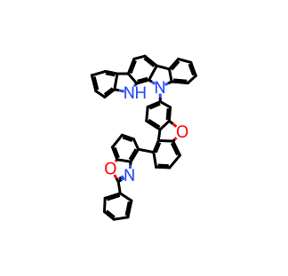 c1ccc(-c2nc3c(-c4cccc5oc6cc(-n7c8ccccc8c8ccc9c%10ccccc%10[nH]c9c87)ccc6c45)cccc3o2)cc1